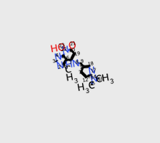 Cc1ncnc2c1c(NCc1ccc(N(C)C)nc1)cc(=O)n2O